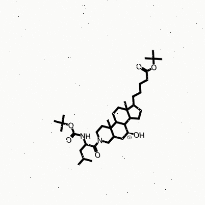 CC(C)CC(NC(=O)OC(C)(C)C)C(=O)N1CCC2(C)C(C[C@H](O)C3C4CCC(CCCCC(=O)OC(C)(C)C)C4(C)CCC32)C1